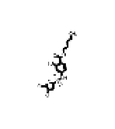 CCCCCOC(=O)c1ccc(NS(=O)(=O)c2cc(Cl)c(Cl)s2)cc1O